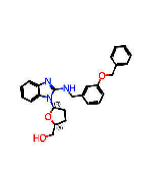 OC[C@@H]1CC[C@H](n2c(NCc3cccc(OCc4ccccc4)c3)nc3ccccc32)O1